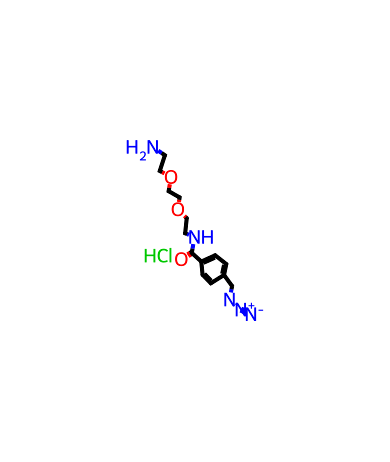 Cl.[N-]=[N+]=NCc1ccc(C(=O)NCCOCCOCCN)cc1